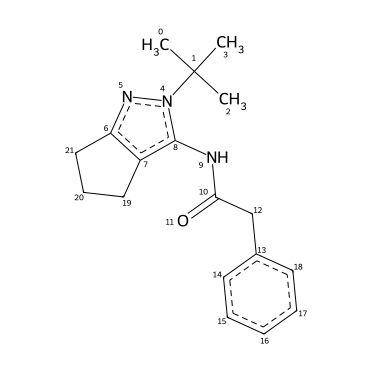 CC(C)(C)n1nc2c(c1NC(=O)Cc1ccccc1)CCC2